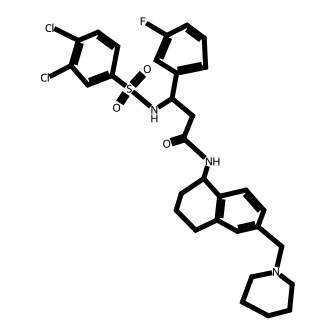 O=C(CC(NS(=O)(=O)c1ccc(Cl)c(Cl)c1)c1cccc(F)c1)NC1CCCc2cc(CN3CCCCC3)ccc21